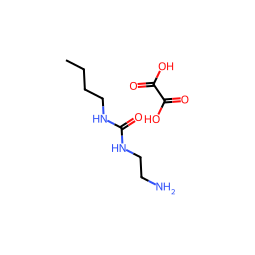 CCCCNC(=O)NCCN.O=C(O)C(=O)O